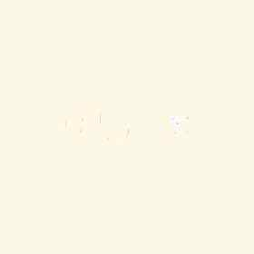 O=C(CC1C(=O)CC(S(=O)(=O)O)C1=O)C1CCC(CN2C(=O)C=CC2=O)CC1